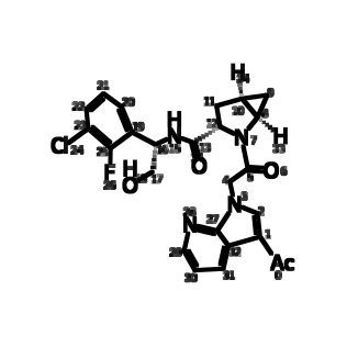 CC(=O)c1cn(CC(=O)N2[C@@H]3C[C@@H]3C[C@H]2C(=O)N[C@H](CO)c2cccc(Cl)c2F)c2ncccc12